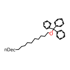 CCCCCCCCCCCCCCCCCCCCOC(c1ccccc1)(c1ccccc1)c1ccccc1